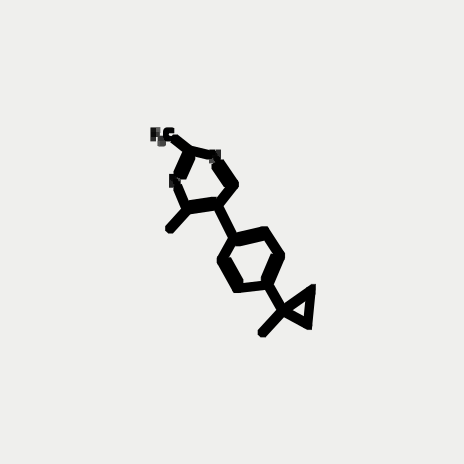 Cc1nc(C(F)(F)F)ncc1-c1ccc(C2(C)CC2)cc1